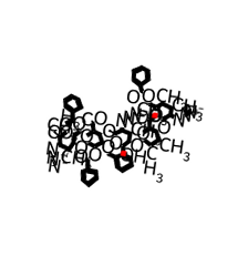 COC(=O)C1O[C@@H](O[C@@H]2C(CO)O[C@@H](O[C@H]3C(C(C)=O)O[C@@H](O[C@@H]4C(COC(=O)c5ccccc5)O[C@H](OC)C(N=[N+]=[N-])[C@H]4C)C(OC(=O)c4ccccc4)[C@@H]3OCc3ccccc3)C(N=[N+]=[N-])[C@H]2C)C(C)[C@@H](C)[C@@H]1O[C@H]1OC(COC(=O)c2ccccc2)[C@@H](C)[C@H](C)C1N=[N+]=[N-]